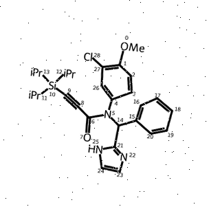 COc1ccc(N(C(=O)C#C[Si](C(C)C)(C(C)C)C(C)C)C(c2ccccc2)c2ncc[nH]2)cc1Cl